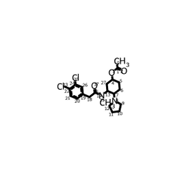 CC(=O)OC1CCC(N2CCCC2)C(N(C)C(=O)Cc2ccc(Cl)c(Cl)c2)C1